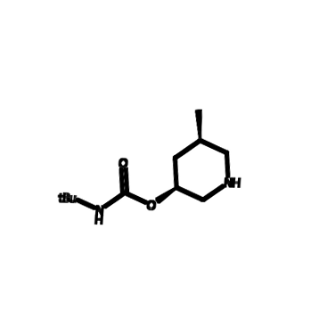 C[C@H]1CNC[C@@H](OC(=O)NC(C)(C)C)C1